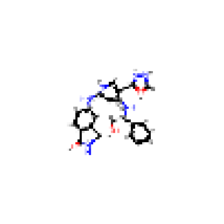 O=C1NCc2cc(Nc3cc(N[C@H](CO)c4ccccc4)c(-c4nnco4)cn3)ccc21